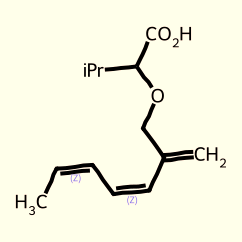 C=C(/C=C\C=C/C)COC(C(=O)O)C(C)C